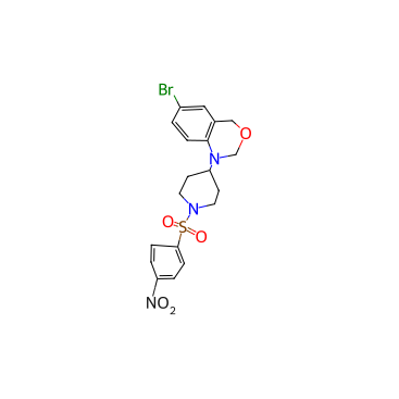 O=[N+]([O-])c1ccc(S(=O)(=O)N2CCC(N3COCc4cc(Br)ccc43)CC2)cc1